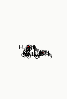 CC1(C)OB(c2ccc(C(=O)NCCCCC[C@H](NC(=O)c3ccc(B4OC(C)(C)C(C)(C)O4)c(F)c3)C(=O)NCC(=O)ON3C(=O)CCC3=O)cc2F)OC1(C)C